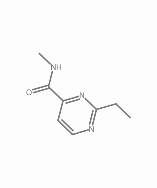 CCc1nccc(C(=O)NC)n1